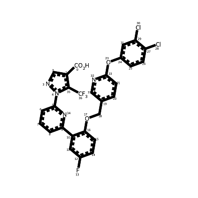 O=C(O)c1cnn(-c2cccc(-c3cc(F)ccc3OCc3ccc(Oc4ccc(Cl)c(Cl)c4)nc3)n2)c1C(F)(F)F